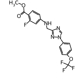 COC(=O)c1ccc(NCc2ncn(-c3ccc(OC(F)(F)F)cc3)n2)cc1F